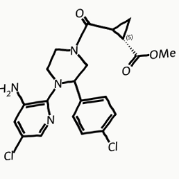 COC(=O)[C@H]1CC1C(=O)N1CCN(c2ncc(Cl)cc2N)C(c2ccc(Cl)cc2)C1